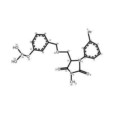 CC(C)c1cccc(N2C(=O)N(C)C(=O)C2COCc2cccc(OP(O)O)c2)c1